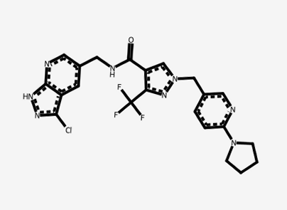 O=C(NCc1cnc2[nH]nc(Cl)c2c1)c1cn(Cc2ccc(N3CCCC3)nc2)nc1C(F)(F)F